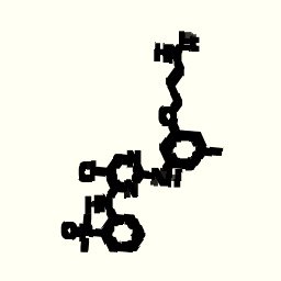 CCN/C=C/COc1cc(C)cc(Nc2ncc(Cl)c(Nc3ccccc3P(C)(C)=O)n2)c1